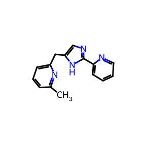 Cc1cccc(Cc2cnc(-c3ccccn3)[nH]2)n1